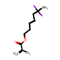 C=C(C)C(=O)OCCCCCC([SiH3])(I)I